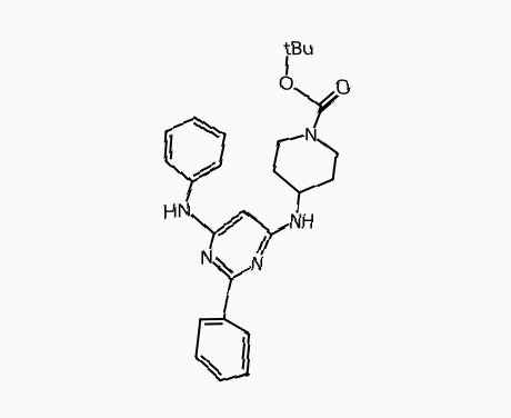 CC(C)(C)OC(=O)N1CCC(Nc2cc(Nc3ccccc3)nc(-c3ccccc3)n2)CC1